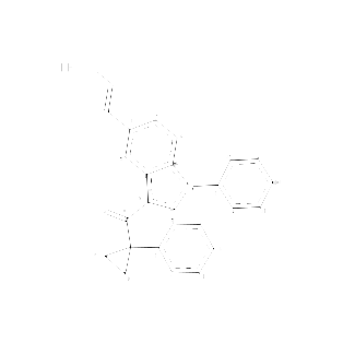 O=C(O)/C=C/c1ccc2c(c1)c(C(=O)C1(c3ccccc3)CC1)cn2-c1ccccc1